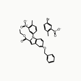 CCOC(=O)c1cc2cc(OCc3ccccc3)ccc2n1-c1ccc(C)c([N+](=O)[O-])c1.Cc1ccc(Br)cc1[N+](=O)[O-]